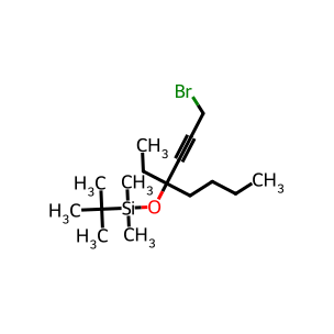 CCCCC(C#CCBr)(CC)O[Si](C)(C)C(C)(C)C